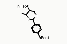 CCCCCCCC1COC(c2ccc(CCCCC)cc2)OC1C